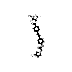 NC[C@H](NC(=O)c1ccc(C#Cc2ccc(NC(=O)CN3CCC(N)C3)cc2)cc1)C(=O)NO